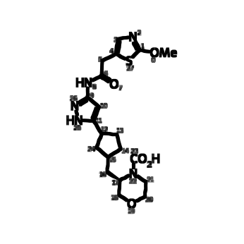 COc1ncc(CC(=O)Nc2cc(C3CCC(C[C@@H]4COCCN4C(=O)O)C3)[nH]n2)s1